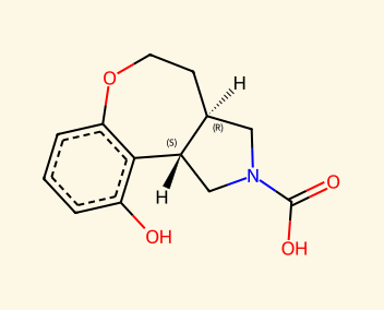 O=C(O)N1C[C@@H]2CCOc3cccc(O)c3[C@H]2C1